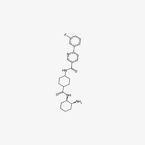 N[C@H]1CCCC[C@H]1NC(=O)C1CCC(NC(=O)c2ccc(-c3cccc(F)c3)nc2)CC1